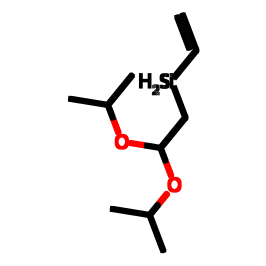 C=C[SiH2]CC(OC(C)C)OC(C)C